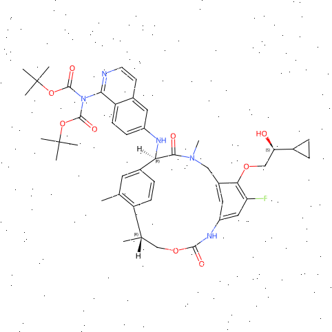 Cc1cc2ccc1[C@@H](C)COC(=O)Nc1cc(F)c(OC[C@@H](O)C3CC3)c(c1)CN(C)C(=O)[C@@H]2Nc1ccc2c(N(C(=O)OC(C)(C)C)C(=O)OC(C)(C)C)nccc2c1